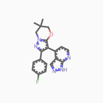 CC1(C)COc2c(-c3ccnc4[nH]ncc34)c(-c3ccc(F)cc3)nn2C1